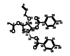 C=CCO[C@H]1C(OC(C)=O)S[C@@H](COC(=O)c2ccc(C)cc2)[C@H]1OC(=O)c1ccc(C)cc1